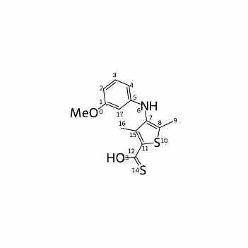 COc1cccc(Nc2c(C)sc(C(O)=S)c2C)c1